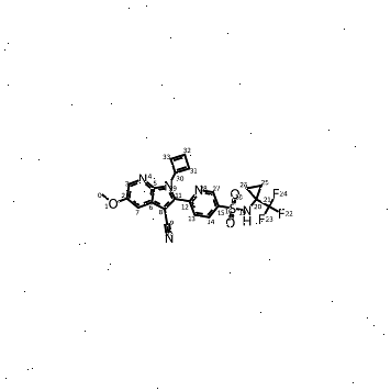 COc1cnc2c(c1)c(C#N)c(-c1ccc(S(=O)(=O)NC3(C(F)(F)F)CC3)cn1)n2C1=CC=C1